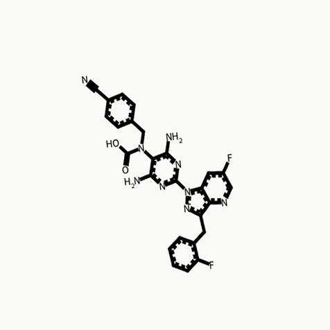 N#Cc1ccc(CN(C(=O)O)c2c(N)nc(-n3nc(Cc4ccccc4F)c4ncc(F)cc43)nc2N)cc1